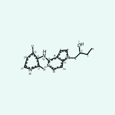 CCC(O)Cn1ccc2c(Nc3c(C)ccnc3C)nccc21